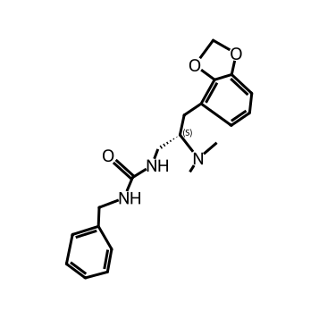 CN(C)[C@H](CNC(=O)NCc1ccccc1)Cc1cccc2c1OCO2